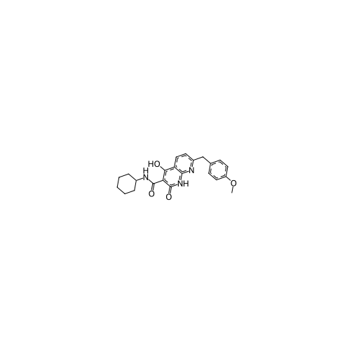 COc1ccc(Cc2ccc3c(O)c(C(=O)NC4CCCCC4)c(=O)[nH]c3n2)cc1